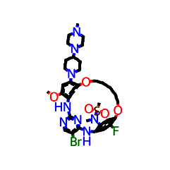 COc1cc(N2CCC(N3CCN(C)CC3)CC2)c2cc1Nc1ncc(Br)c(n1)Nc1cc(F)c(cc1N(C)S(C)(=O)=O)OCCCCCO2